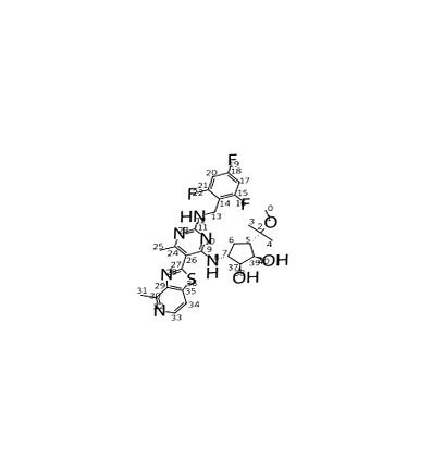 COC(C)(C)[C@H]1C[C@@H](Nc2nc(NCc3c(F)cc(F)cc3F)nc(C)c2-c2nc3c(C)nccc3s2)[C@H](O)[C@@H]1O